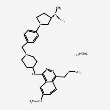 COCc1nnc(NC2CCN(Cc3ccc(N4CC[C@@H](N(C)C)C4)cc3)CC2)c2cc(OC)ccc12.Cl.Cl.Cl